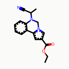 CCOC(=O)c1cc2n(c1)CN(C(C)C#N)c1ccccc1-2